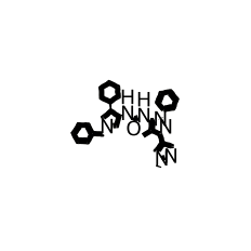 Cc1c(-c2cnn(C)c2)nn(-c2ccccc2)c1NC(=O)N[C@@H]1CN(Cc2ccccc2)C[C@H]1C1CCCCC1